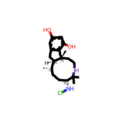 C[C@H]1CC[C@@H](NCl)C(C)(C)[IH]CC[C@@]2(C)c3c(O)cc(O)cc3C[C@H]12